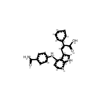 NC(=O)c1ccc(Nc2ccnc3[nH]cc(C=C(C(=O)O)c4ccccc4)c23)cc1